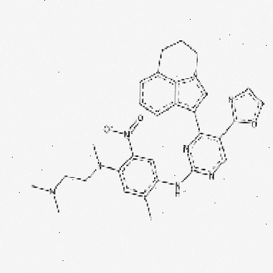 Cc1cc(N(C)CCN(C)C)c([N+](=O)[O-])cc1Nc1ncc(-c2ncco2)c(-c2cn3c4c(cccc24)CCC3)n1